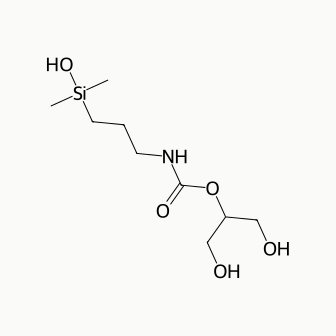 C[Si](C)(O)CCCNC(=O)OC(CO)CO